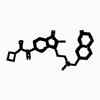 Cc1[nH]c2ccc(NC(=O)C3CCC3)cc2c1CCN(C)Cc1ccc2ccncc2c1